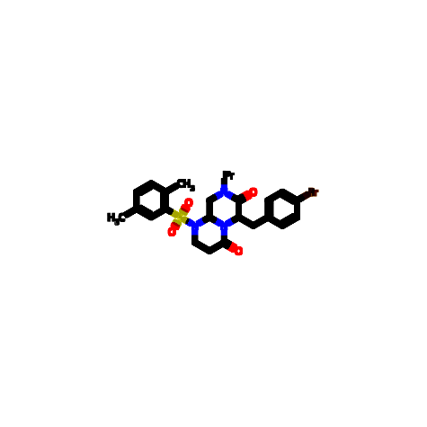 Cc1ccc(C)c(S(=O)(=O)N2CCC(=O)N3C(Cc4ccc(Br)cc4)C(=O)N(C(C)C)CC32)c1